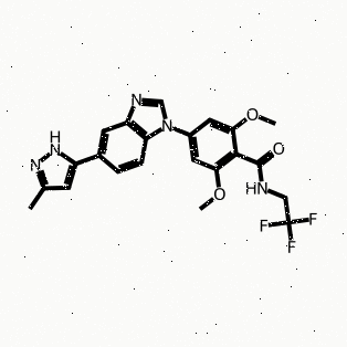 COc1cc(-n2cnc3cc(-c4cc(C)n[nH]4)ccc32)cc(OC)c1C(=O)NCC(F)(F)F